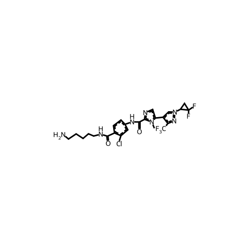 Cn1c(-c2cn(C3CC3(F)F)nc2C(F)(F)F)cnc1C(=O)Nc1ccc(C(=O)NCCCCCN)c(Cl)c1